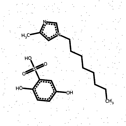 CCCCCCCCn1cnc(C)c1.O=S(=O)(O)c1cc(O)ccc1O